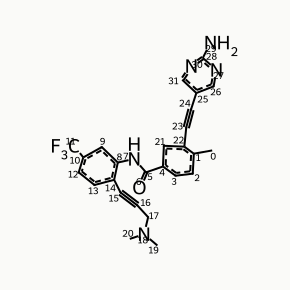 Cc1ccc(C(=O)Nc2cc(C(F)(F)F)ccc2C#CCN(C)C)cc1C#Cc1cnc(N)nc1